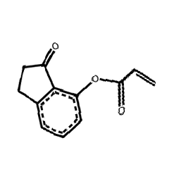 C=CC(=O)Oc1cccc2c1C(=O)CC2